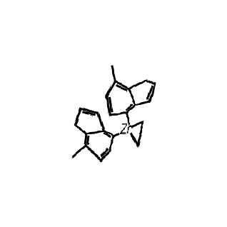 Cc1cc[c]([Zr]2([c]3ccc(C)c4c3C=CC4)[CH2][CH2]2)c2c1CC=C2